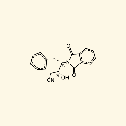 N#CC[C@@H](O)[C@H](Cc1ccccc1)N1C(=O)c2ccccc2C1=O